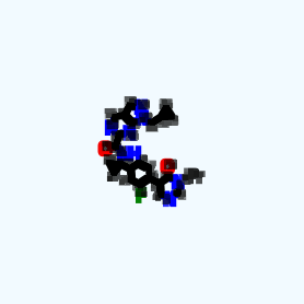 CC(C)n1cncc(-c2ccc(C3(NC(=O)c4ncc5cnn(CC6CC6)c5n4)CC3)cc2F)c1=O